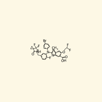 Cn1c(N(c2ccc(Br)cc2)c2cc(CNC(=O)C3(C(F)(F)F)CC3)ccc2F)nc2cc(C(=O)O)c(OCC(F)F)cc21